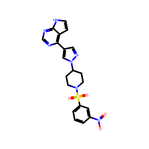 O=[N+]([O-])c1cccc(S(=O)(=O)N2CCC(n3cc(-c4ncnc5[nH]ccc45)cn3)CC2)c1